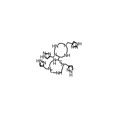 c1cc(CN2CCNCCN(Cc3cc[nH]n3)CC(C3CNCCN(Cc4c[nH]nn4)CCNCCN3Cc3c[nH]nn3)NCC2)n[nH]1